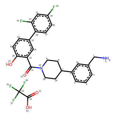 NCc1cccc(C2CCN(C(=O)c3cc(-c4ccc(F)cc4F)ccc3O)CC2)c1.O=C(O)C(F)(F)F